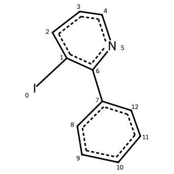 Ic1cccnc1-c1ccccc1